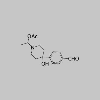 CC(=O)OC(C)N1CCC(O)(c2ccc(C=O)cc2)CC1